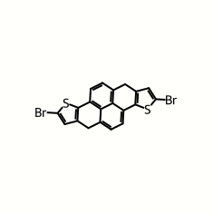 Brc1cc2c(s1)-c1ccc3c4c(ccc(c14)C2)-c1sc(Br)cc1C3